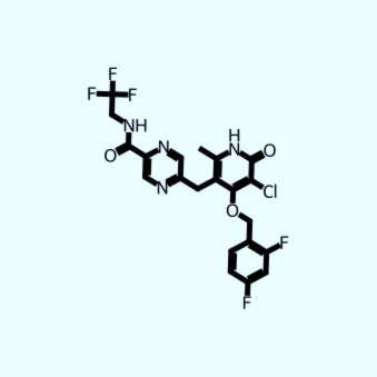 Cc1[nH]c(=O)c(Cl)c(OCc2ccc(F)cc2F)c1Cc1cnc(C(=O)NCC(F)(F)F)cn1